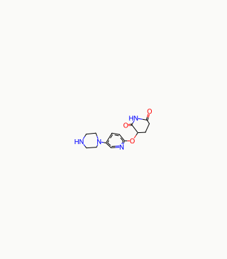 O=C1CCC(Oc2ccc(N3CCNCC3)cn2)C(=O)N1